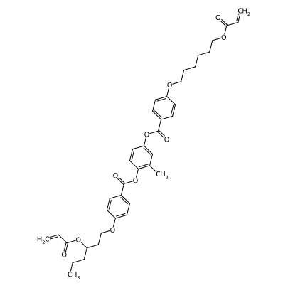 C=CC(=O)OCCCCCCOc1ccc(C(=O)Oc2ccc(OC(=O)c3ccc(OCCC(CCC)OC(=O)C=C)cc3)c(C)c2)cc1